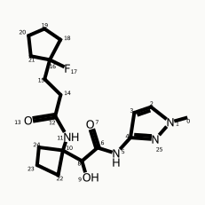 Cn1ccc(NC(=O)C(O)C2(NC(=O)CCC3(F)CCCC3)CCC2)n1